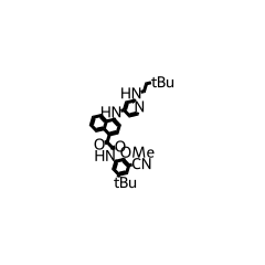 COc1c(C#N)cc(C(C)(C)C)cc1NC(=O)C(=O)c1ccc(Nc2ccnc(NCCC(C)(C)C)c2)c2ccccc12